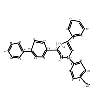 Brc1ccc(N2C=C(c3ccccc3)NC(c3ccc(-c4ccccc4)cc3)=N2)cc1